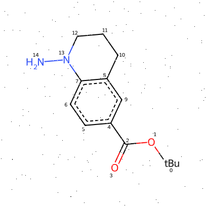 CC(C)(C)OC(=O)c1ccc2c(c1)CCCN2N